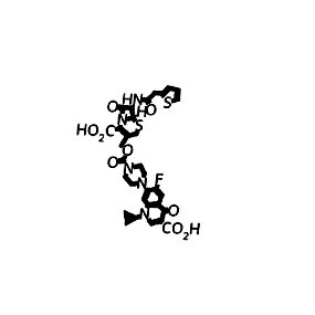 O=C(Cc1cccs1)N[C@@H]1C(=O)N2C(C(=O)O)=C(COC(=O)N3CCN(c4cc5c(cc4F)c(=O)c(C(=O)O)cn5C4CC4)CC3)CS[C@H]12